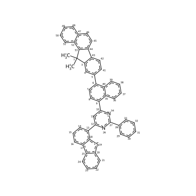 CC1(C)c2cc(-c3ccc(-c4cc(-c5cccc6c5sc5ccccc56)nc(-c5ccccc5)n4)c4ccccc34)ccc2-c2ccc3ccccc3c21